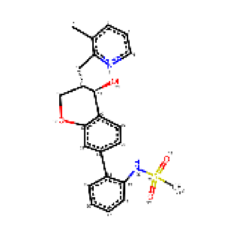 Cc1cccnc1C[C@H]1COc2cc(-c3ccccc3NS(=O)(=O)C(F)(F)F)ccc2[C@@H]1O